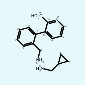 NCC1CC1.NCc1ccccc1-c1cccnc1C(=O)O